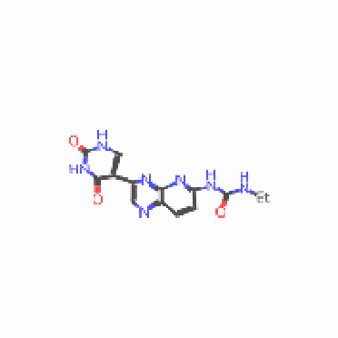 CCNC(=O)Nc1ccc2ncc(-c3c[nH]c(=O)[nH]c3=O)nc2n1